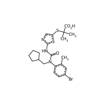 Cc1cc(Br)ccc1N(CC1CCCC1)C(=O)Nc1ncc(SC(C)(C)C(=O)O)s1